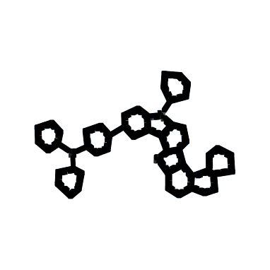 c1ccc(N(c2ccccc2)c2ccc(-c3ccc4c(c3)c3c5sc6ccc7ccc8ccccc8c7c6c5ccc3n4-c3ccccc3)cc2)cc1